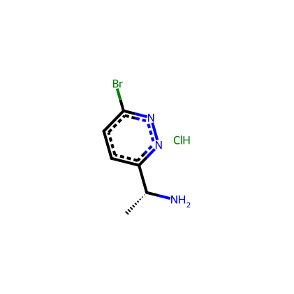 C[C@@H](N)c1ccc(Br)nn1.Cl